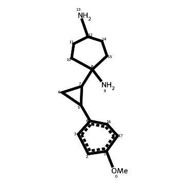 COc1ccc(C2CC2C2(N)CCC(N)CC2)cc1